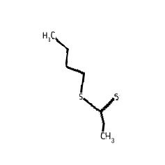 CCCCSC(C)[S]